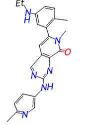 CCNc1ccc(C)c(-c2cc3cnc(Nc4ccc(C)nc4)nc3c(=O)n2C)c1